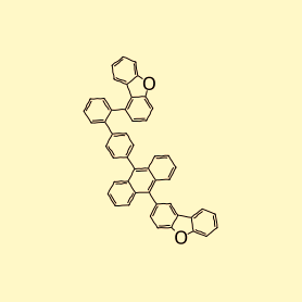 c1ccc(-c2cccc3oc4ccccc4c23)c(-c2ccc(-c3c4ccccc4c(-c4ccc5oc6ccccc6c5c4)c4ccccc34)cc2)c1